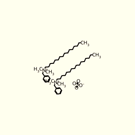 CCCCCCCCCCCCCCCC[N+](C)(C)Cc1ccccc1.CCCCCCCCCCCCCCCC[N+](C)(C)Cc1ccccc1.O=S(=O)([O-])[O-]